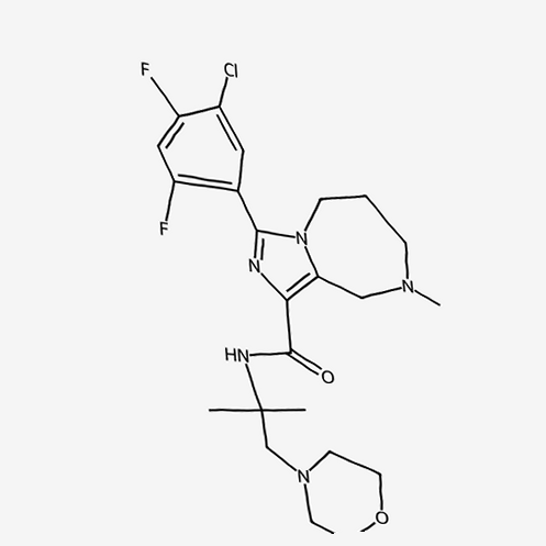 CN1CCCn2c(-c3cc(Cl)c(F)cc3F)nc(C(=O)NC(C)(C)CN3CCOCC3)c2C1